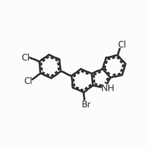 Clc1ccc2[nH]c3c(Br)cc(-c4ccc(Cl)c(Cl)c4)cc3c2c1